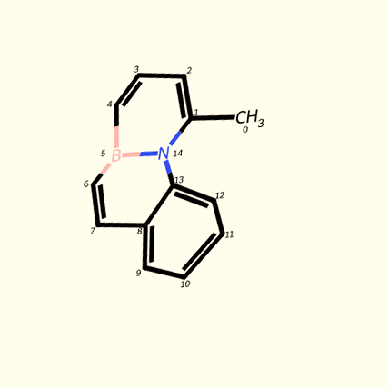 CC1=CC=CB2C=Cc3ccccc3N21